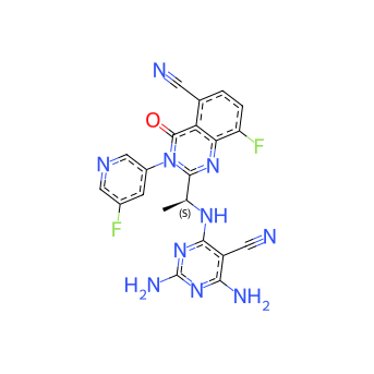 C[C@H](Nc1nc(N)nc(N)c1C#N)c1nc2c(F)ccc(C#N)c2c(=O)n1-c1cncc(F)c1